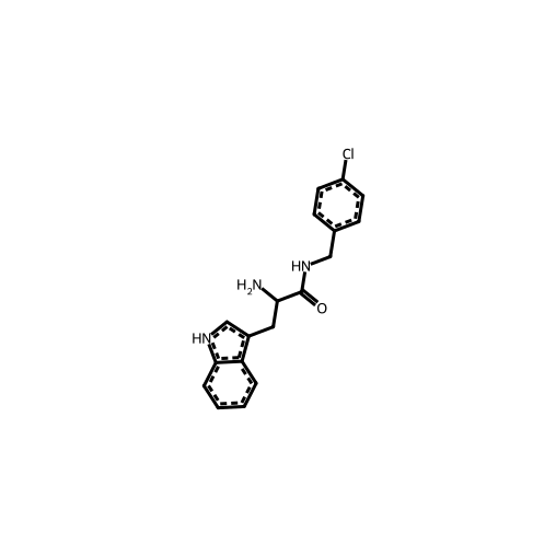 NC(Cc1c[nH]c2ccccc12)C(=O)NCc1ccc(Cl)cc1